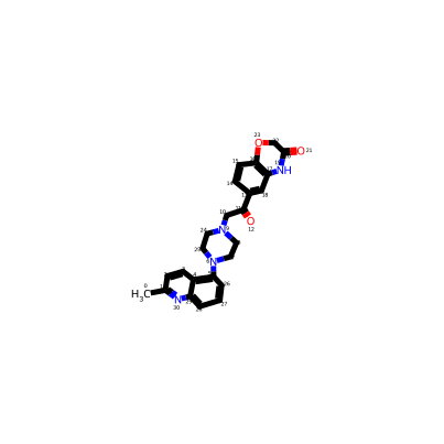 Cc1ccc2c(N3CCN(CC(=O)c4ccc5c(c4)NC(=O)CO5)CC3)cccc2n1